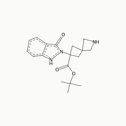 CC(C)(C)OC(=O)C1(n2[nH]c3ccccc3c2=O)CC2(CNC2)C1